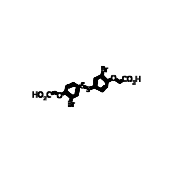 O=C(O)COc1ccc(SSc2ccc(OCC(=O)O)c(Br)c2)cc1Br